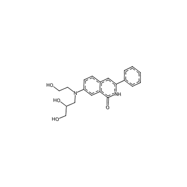 O=c1[nH]c(-c2ccccc2)cc2ccc(N(CCO)CC(O)CO)cc12